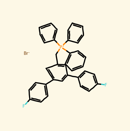 Fc1ccc(-c2cc(C[P+](c3ccccc3)(c3ccccc3)c3ccccc3)cc(-c3ccc(F)cc3)c2)cc1.[Br-]